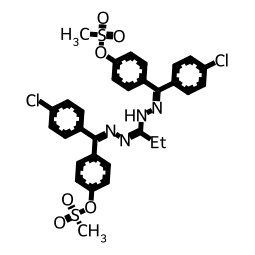 CCC(=NN=C(c1ccc(Cl)cc1)c1ccc(OS(C)(=O)=O)cc1)NN=C(c1ccc(Cl)cc1)c1ccc(OS(C)(=O)=O)cc1